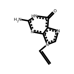 C=Cn1cnc2c(=O)[nH]c(N)nc21